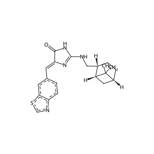 CC1(C)[C@@H]2CC[C@@H](CNC3=N/C(=C\c4ccc5ncsc5c4)C(=O)N3)[C@H]1C2